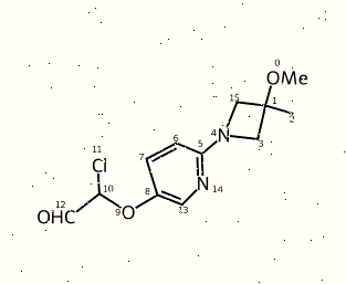 COC1(C)CN(c2ccc(OC(Cl)C=O)cn2)C1